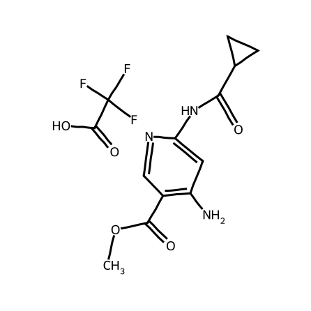 COC(=O)c1cnc(NC(=O)C2CC2)cc1N.O=C(O)C(F)(F)F